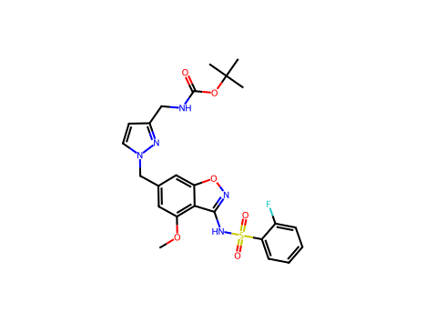 COc1cc(Cn2ccc(CNC(=O)OC(C)(C)C)n2)cc2onc(NS(=O)(=O)c3ccccc3F)c12